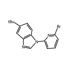 CC(C)(C)c1ccc2c(c1)ncn2-c1cccc(Br)n1